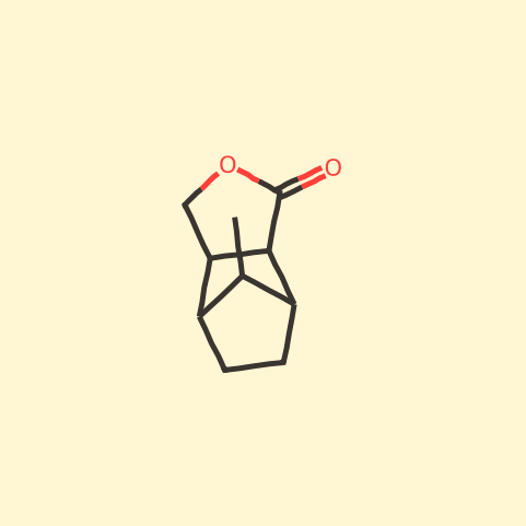 CC1C2CCC1C1C(=O)OCC21